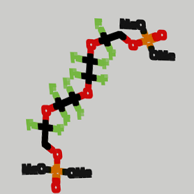 COP(=O)(OC)OCC(F)(F)OC(F)(F)C(F)(F)OC(F)(F)C(F)(F)OC(F)(F)COP(=O)(OC)OC